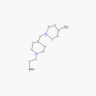 CNCCN1CCC(CN2CCC(C)CC2)CC1